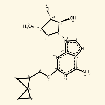 C[C@H]1O[C@@H](n2cnc3c(N)nc(OCC4CC45CC5)nc32)[C@H](O)[C@H]1Cl